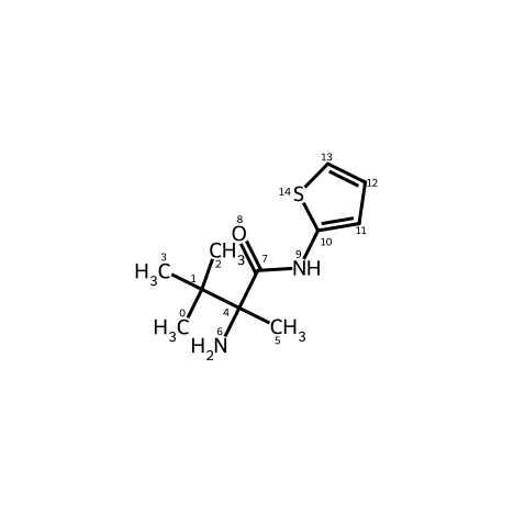 CC(C)(C)C(C)(N)C(=O)Nc1cccs1